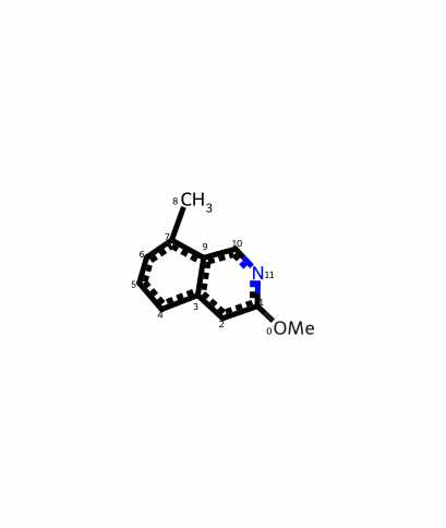 COc1cc2cccc(C)c2cn1